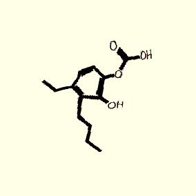 CCCCc1c(CC)ccc(OC(=O)O)c1O